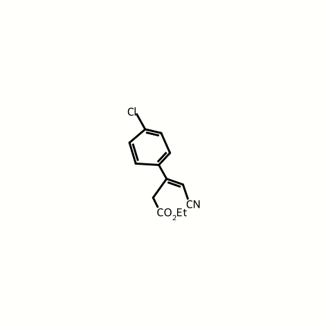 CCOC(=O)CC(=CC#N)c1ccc(Cl)cc1